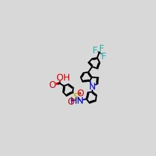 O=C(O)c1ccc(S(=O)(=O)Nc2cccc(-n3ccc4c(-c5ccc(C(F)(F)F)cc5)cccc43)c2)cc1